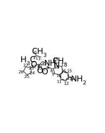 CC(C)C[C@H](NC(=O)[C@@H]1Cc2ccc(N)cc2CN1C)C(=O)OC1CCCC1